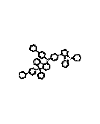 c1ccc(-c2ccc(N(c3ccc(-c4cccc5c4c4ccccc4n5-c4ccccc4)cc3)c3cccc4c3-c3ccccc3C4(c3ccccc3)c3ccc(-c4ccccc4)cc3)cc2)cc1